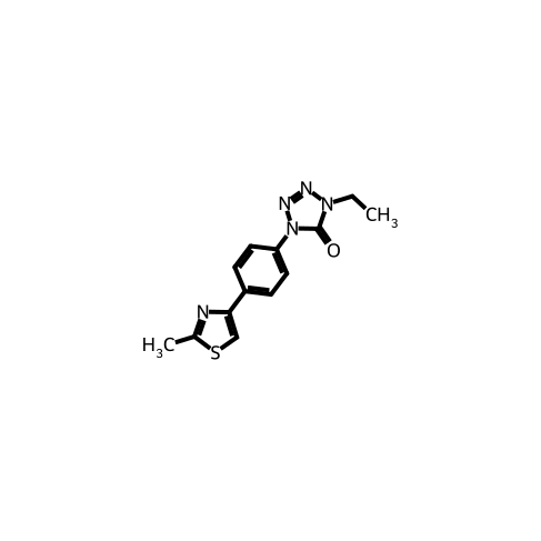 CCn1nnn(-c2ccc(-c3csc(C)n3)cc2)c1=O